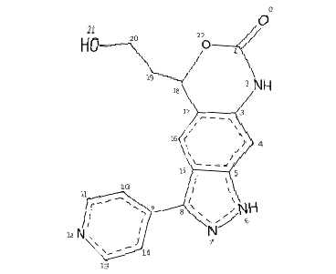 O=C1Nc2cc3[nH]nc(-c4ccncc4)c3cc2C(CCO)O1